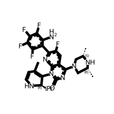 CC1=C(n2c(=O)nc(N3C[C@@H](C)N[C@@H](C)C3)c3cc(F)c(-c4c(N)c(F)c(F)c(F)c4F)nc32)[C@@H](C(C)C)NC=C1